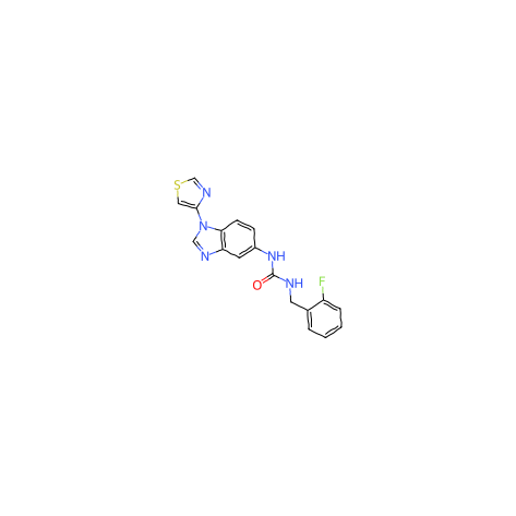 O=C(NCc1ccccc1F)Nc1ccc2c(c1)ncn2-c1cscn1